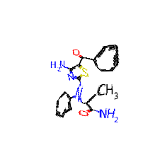 CC(C(N)=O)N(c1ccccc1)c1nc(N)c(C(=O)c2ccccc2)s1